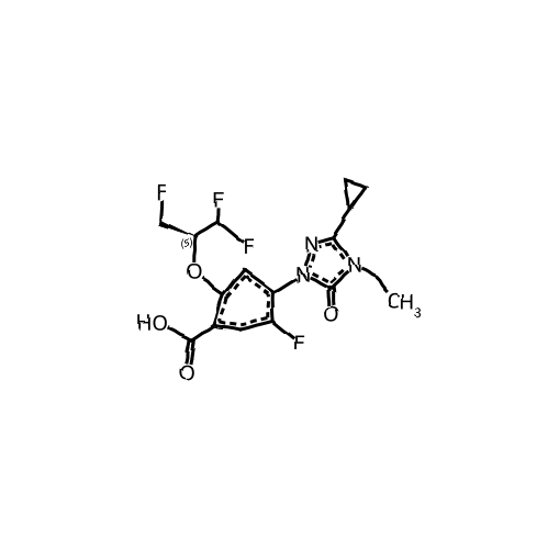 CCn1c(C2CC2)nn(-c2cc(O[C@@H](CF)C(F)F)c(C(=O)O)cc2F)c1=O